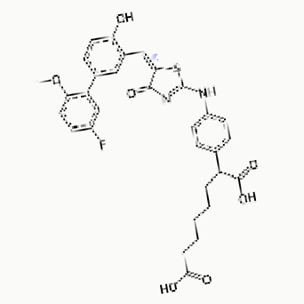 COc1ccc(F)cc1-c1ccc(O)c(/C=C2/SC(Nc3ccc(C(CCCCCC(=O)O)C(=O)O)cc3)=NC2=O)c1